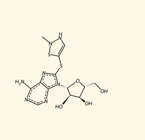 CN1NC=C(Sc2nc3c(N)ncnc3n2[C@@H]2O[C@H](CO)[C@@H](O)[C@H]2O)S1